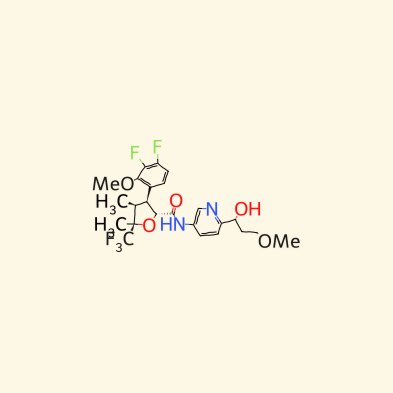 COCC[C@@H](O)c1ccc(NC(=O)[C@@H]2O[C@@](C)(C(F)(F)F)[C@@H](C)[C@H]2c2ccc(F)c(F)c2OC)cn1